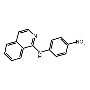 O=[N+]([O-])c1ccc(Nc2nccc3ccccc23)cc1